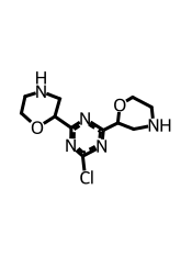 Clc1nc(C2CNCCO2)nc(C2CNCCO2)n1